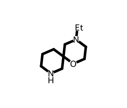 CCN1CCOC2(CCCNC2)C1